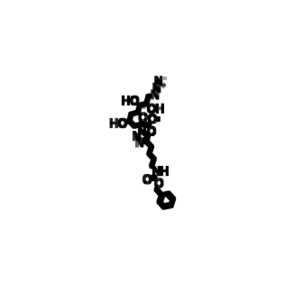 COC(=O)C1(n2cc(CCCCNC(=O)OCc3ccccc3)nn2)CC(O)CC(C(O)[C@H](O)CN=[N+]=[N-])O1